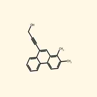 Cc1ccc2c(cc(C#CCO)c3ccccc32)c1C